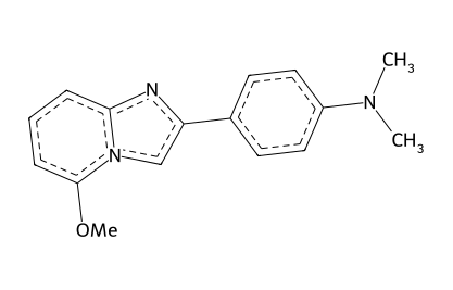 COc1cccc2nc(-c3ccc(N(C)C)cc3)cn12